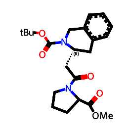 COC(=O)C1CCCN1C(=O)C[C@H]1Cc2ccccc2CN1C(=O)OC(C)(C)C